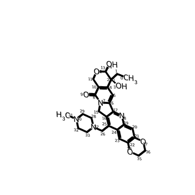 CC[C@]1(O)c2cc3n(c(=O)c2COC1O)Cc1c-3nc2cc3c(cc2c1CN1CCN(C)CC1)OCCO3